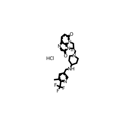 Cc1cc(CNC2CCN(C[C@@H]3Cn4c(=O)ccc5ncc(=O)n3c54)CC2)cnc1C(F)(F)F.Cl